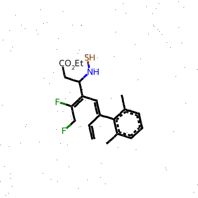 C=C/C(=C\C(=C(\F)CF)C(CC(=O)OCC)NS)c1c(C)cccc1C